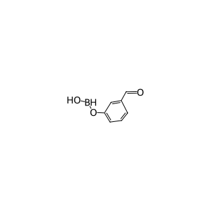 O=Cc1cccc(OBO)c1